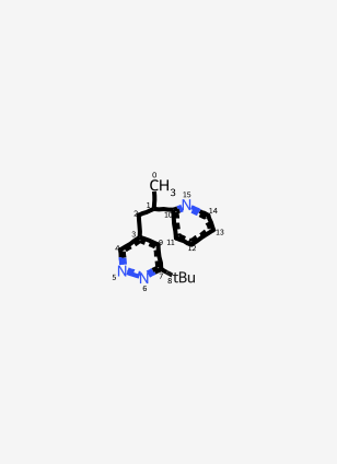 CC(Cc1cnnc(C(C)(C)C)c1)c1ccccn1